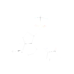 C/C(=C\[C@@H]1CC[C@@H](C)[C@H]2CC=C(OS(=O)(=O)C(F)(F)F)C12)C(=O)O